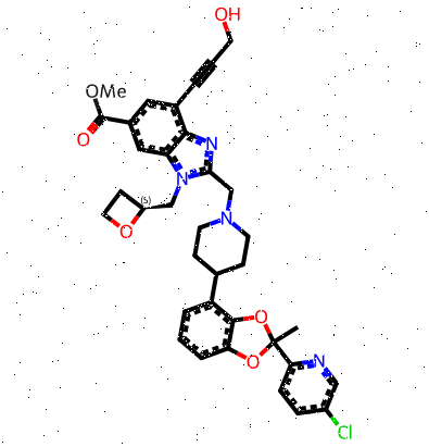 COC(=O)c1cc(C#CCO)c2nc(CN3CCC(c4cccc5c4OC(C)(c4ccc(Cl)cn4)O5)CC3)n(C[C@@H]3CCO3)c2c1